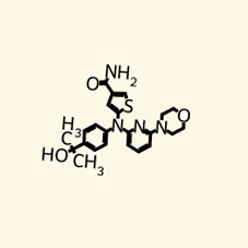 CC(C)(O)c1ccc(N(c2cccc(N3CCOCC3)n2)c2cc(C(N)=O)cs2)cc1